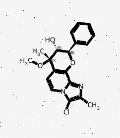 CO[C@@]1(C)c2ccn3c(Cl)c(C)nc3c2O[C@H](c2ccccc2)[C@H]1O